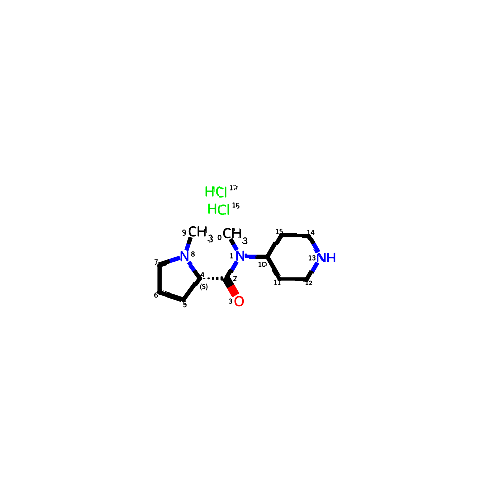 CN(C(=O)[C@@H]1CCCN1C)C1CCNCC1.Cl.Cl